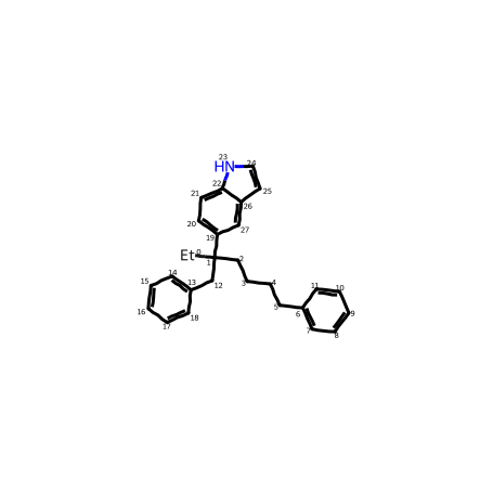 CCC(CCCCc1ccccc1)(Cc1ccccc1)c1ccc2[nH]ccc2c1